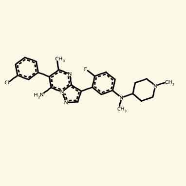 Cc1nc2c(-c3cc(N(C)C4CCN(C)CC4)ccc3F)cnn2c(N)c1-c1cccc(Cl)c1